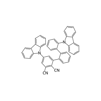 N#Cc1cc(-n2c3ccccc3c3ccccc32)cc(-c2ccccc2-c2ccccc2-n2c3ccccc3c3ccccc32)c1C#N